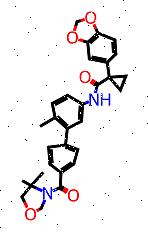 Cc1ccc(NC(=O)C2(c3ccc4c(c3)OCO4)CC2)cc1-c1ccc(C(=O)N2COCC2(C)C)cc1